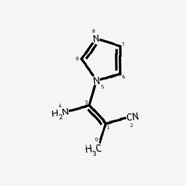 C/C(C#N)=C(\N)n1ccnc1